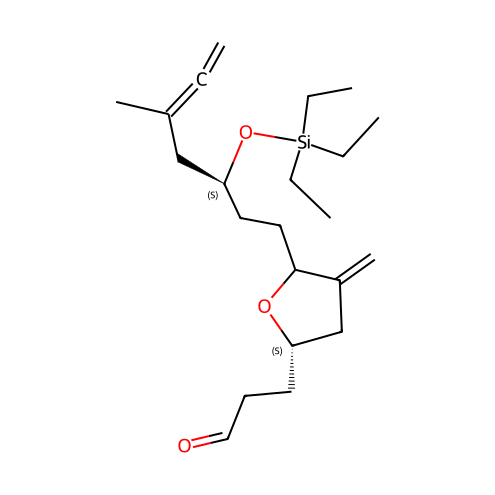 C=C=C(C)C[C@H](CCC1O[C@@H](CCC=O)CC1=C)O[Si](CC)(CC)CC